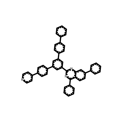 c1ccc(-c2ccc(-c3cc(-c4ccc(-c5ccncc5)cc4)cc(-c4nc(-c5ccccc5)c5ccc(-c6ccccc6)cc5n4)c3)cc2)cc1